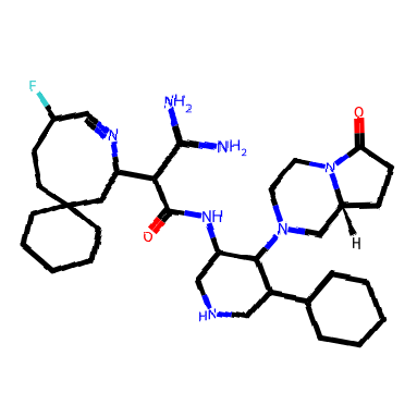 NC(N)C(C(=O)NC1CNCC(C2CCCCC2)C1N1CCN2C(=O)CC[C@@H]2C1)C1CC2(CCCCC2)CCC(F)/C=N\1